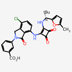 Cc1ccc([C@H](Nc2c(Nc3ccc(Cl)c4c3C(=O)N(c3cccc(C(=O)O)c3)C4)c(=O)c2=O)C(C)(C)C)o1